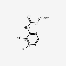 [CH2]CCCCOC(=O)Nc1cccc(F)c1F